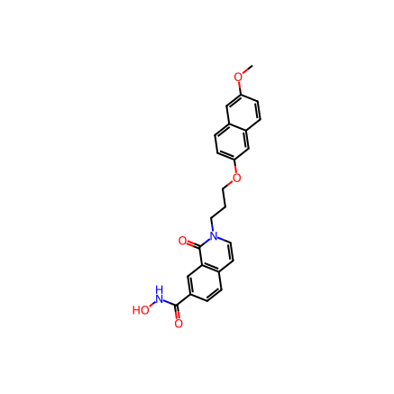 COc1ccc2cc(OCCCn3ccc4ccc(C(=O)NO)cc4c3=O)ccc2c1